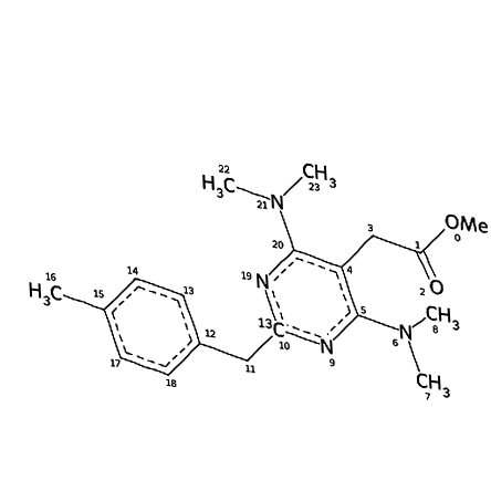 COC(=O)Cc1c(N(C)C)n[13c](Cc2ccc(C)cc2)nc1N(C)C